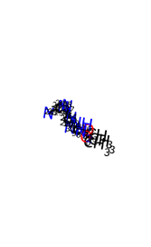 CC(C)(C)OC(=O)N1CCC[C@H](Nc2nc(-c3cnn4ccc(C#N)cc34)ccc2N)C1